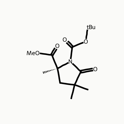 COC(=O)[C@]1(C)CC(C)(C)C(=O)N1C(=O)OC(C)(C)C